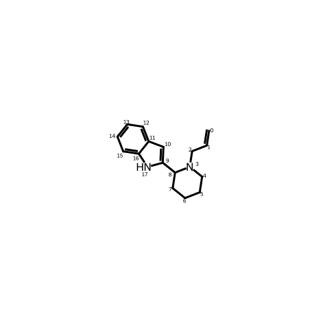 C=CCN1CCCCC1c1cc2ccccc2[nH]1